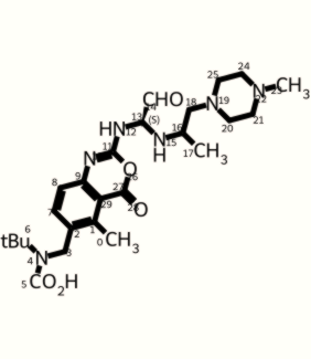 Cc1c(CN(C(=O)O)C(C)(C)C)ccc2nc(N[C@@H](C=O)NC(C)CN3CCN(C)CC3)oc(=O)c12